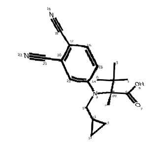 CC(C)(C)[C@](C)(C(=O)O)N(CC1CC1)c1ccc(C#N)c(C#N)c1